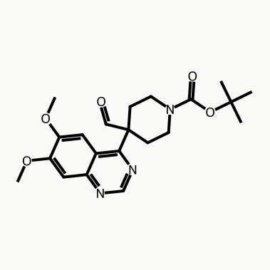 COc1cc2ncnc(C3(C=O)CCN(C(=O)OC(C)(C)C)CC3)c2cc1OC